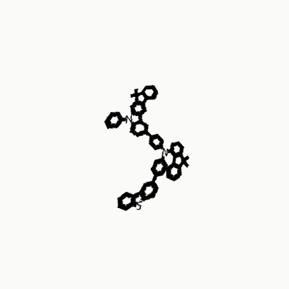 CC1(C)C2=C(CCC=C2)c2cc3c(cc21)N(c1ccccc1)C1=CC=C(c2ccc(N(c4ccc(-c5ccc6sc7ccccc7c6c5)cc4)c4cccc5c4-c4ccccc4C5(C)C)cc2)CC13